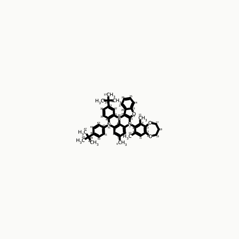 Cc1cc2c3c(c1)N(c1c(C)cc4c(c1C)OCCCO4)c1oc4ccccc4c1B3c1cc(C(C)(C)C)ccc1N2c1ccc(C(C)(C)C)cc1